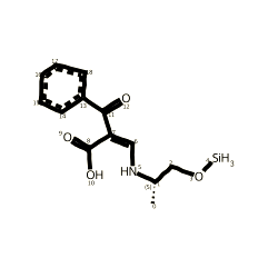 C[C@@H](CO[SiH3])NC=C(C(=O)O)C(=O)c1ccccc1